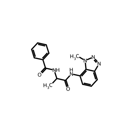 CC(NC(=O)c1ccccc1)C(=O)Nc1cccc2nnn(C)c12